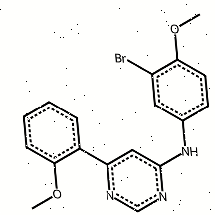 COc1ccc(Nc2cc(-c3ccccc3OC)ncn2)cc1Br